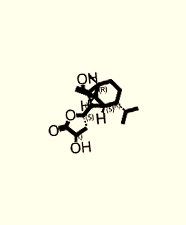 C=C1[C@H]([C@@H]2C[C@@H](O)C(=O)O2)[C@H]2[C@@H](C(C)C)CC[C@]1(C)[C@H]2CO